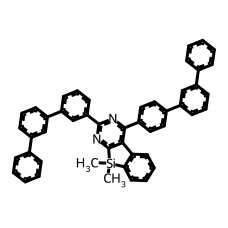 C[Si]1(C)c2ccccc2-c2c(-c3ccc(-c4cccc(-c5ccccc5)c4)cc3)nc(-c3cccc(-c4cccc(-c5ccccc5)c4)c3)nc21